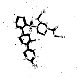 CC(C)(C)OC(=O)N1CCN(S(=O)(=O)c2ccccc2-c2ccc(-c3cnc(N)nc3)c(F)c2)[C@@H](CO)C1